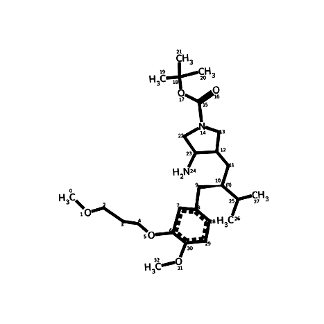 COCCCOc1cc(C[C@@H](CC2CN(C(=O)OC(C)(C)C)CC2N)C(C)C)ccc1OC